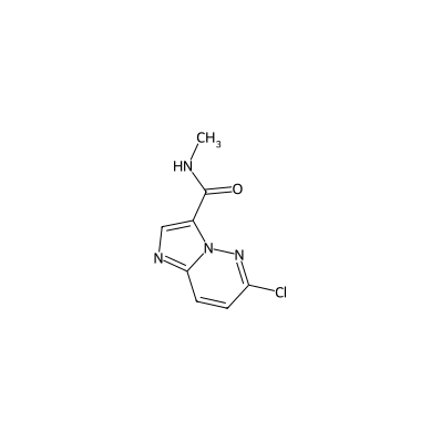 CNC(=O)c1cnc2ccc(Cl)nn12